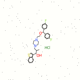 CC(CN1CCN(CCOC(c2ccc(F)cc2)c2ccc(F)cc2)CC1)C(O)c1csc2ccccc12.Cl